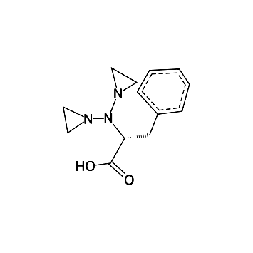 O=C(O)[C@@H](Cc1ccccc1)N(N1CC1)N1CC1